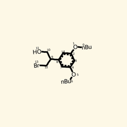 CCCCOc1cc(OCCCC)cc(C(CO)CBr)c1